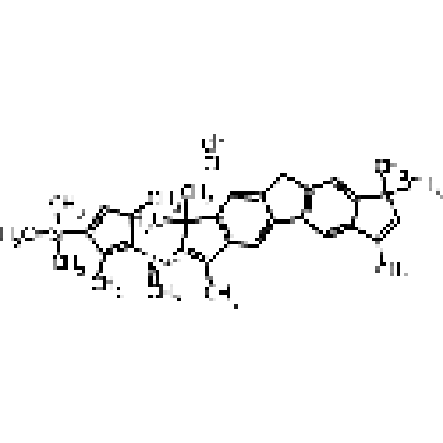 [CH2]=[Zr+2]([C]1=C(C)C([Si](C)(C)C)=CC1C)[C]1=C(C)c2cc3c(cc2C1(C)C)Cc1cc2c(cc1-3)C(C)=CC2(C)C.[Cl-].[Cl-]